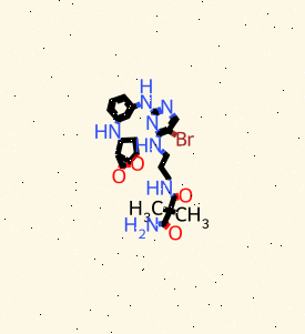 CC(C)(C(N)=O)C(=O)NCCCNc1nc(Nc2cccc(NC3CC4CC3C(=O)O4)c2)ncc1Br